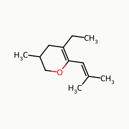 CCC1=C(C=C(C)C)OCC(C)C1